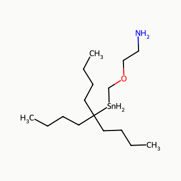 CCCC[C](CCCC)(CCCC)[SnH2][CH2]OCCN